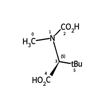 CN(C(=O)O)[C@H](C(=O)O)C(C)(C)C